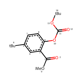 COC(=O)c1cc(C(C)(C)C)ccc1OC(=O)OC(C)(C)C